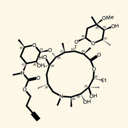 C#CCCOC(=O)N(C)[C@H]1C[C@@H](C)O[C@@H](O[C@@H]2[C@@H](C)[C@H](O[C@H]3C[C@@](C)(OC)[C@@H](O)[C@H](C)O3)[C@@H](C)C(=O)O[C@H](CC)[C@@](C)(O)[C@H](O)[C@@H](C)N(C)C[C@H](C)C[C@@]2(C)O)[C@@H]1O